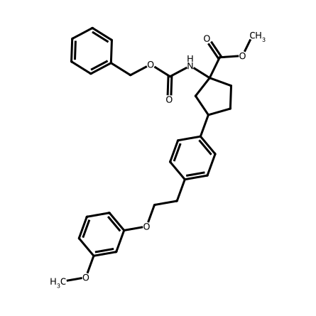 COC(=O)C1(NC(=O)OCc2ccccc2)CCC(c2ccc(CCOc3cccc(OC)c3)cc2)C1